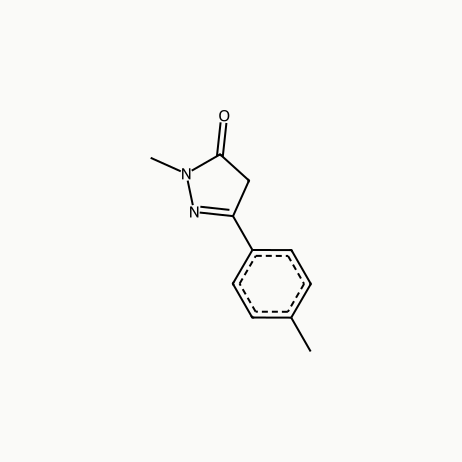 Cc1ccc(C2=NN(C)C(=O)C2)cc1